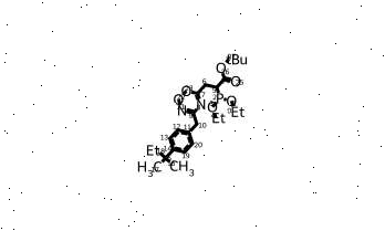 CCOP(OCC)C(CC1=NC(Cc2ccc(C(C)(C)CC)cc2)=NOO1)C(=O)OC(C)(C)C